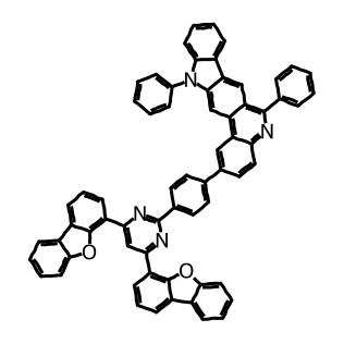 c1ccc(-c2nc3ccc(-c4ccc(-c5nc(-c6cccc7c6oc6ccccc67)cc(-c6cccc7c6oc6ccccc67)n5)cc4)cc3c3cc4c(cc23)c2ccccc2n4-c2ccccc2)cc1